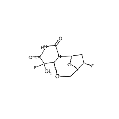 CC1(F)C(=O)NC(=O)N2C3CC(F)C(COC21)O3